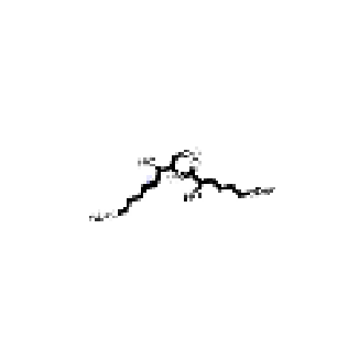 CCCCCCCCCCCCC/C=C/C(O)C(CO)NC(=O)C(O)CCCCCCCCCCCCCC